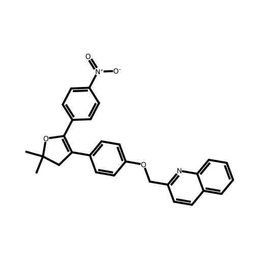 CC1(C)CC(c2ccc(OCc3ccc4ccccc4n3)cc2)=C(c2ccc([N+](=O)[O-])cc2)O1